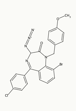 COc1ccc(CN2C(=O)C(N=[N+]=[N-])N=C(c3ccc(Cl)cc3)c3cccc(Br)c32)cc1